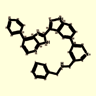 c1ccc(CNCc2cncc(-c3ccc4[nH]nc(-c5nc6c(-c7ccncc7)ccnc6[nH]5)c4c3)c2)cc1